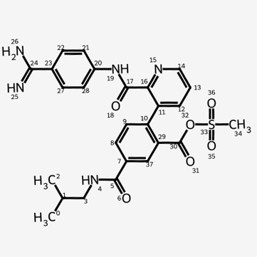 CC(C)CNC(=O)c1ccc(-c2cccnc2C(=O)Nc2ccc(C(=N)N)cc2)c(C(=O)OS(C)(=O)=O)c1